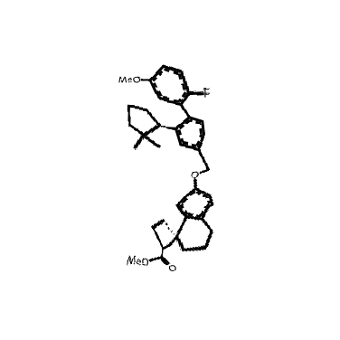 COC(=O)[C@H]1CC[C@]12CCCc1ccc(OCc3ccc(-c4cc(OC)ccc4F)c([C@@H]4CCCC4(C)C)c3)cc12